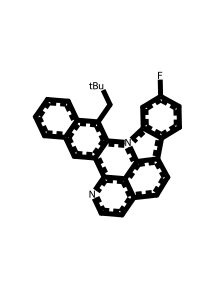 CC(C)(C)Cc1c2ccccc2cc2c3nccc4ccc5c6ccc(F)cc6n(c12)c5c43